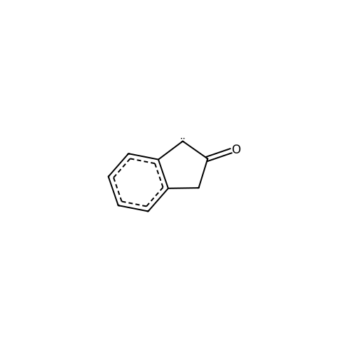 O=C1[C]c2ccccc2C1